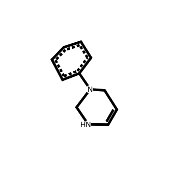 C1=CNCN(c2ccccc2)C1